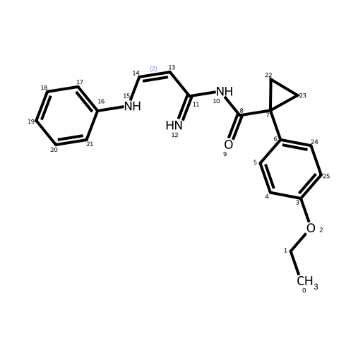 CCOc1ccc(C2(C(=O)NC(=N)/C=C\Nc3ccccc3)CC2)cc1